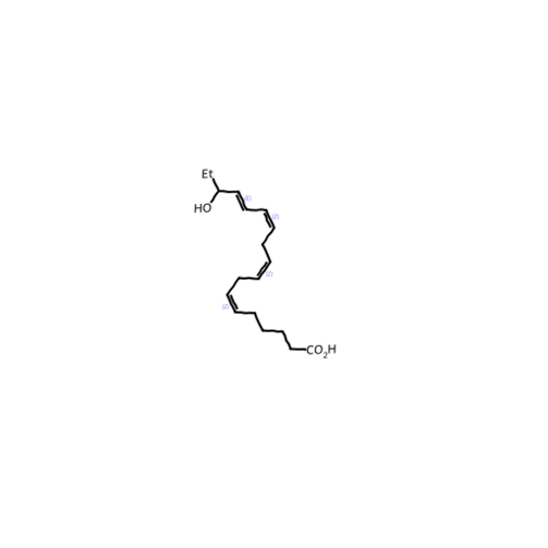 CCC(O)/C=C/C=C\C/C=C\C/C=C\CCCCC(=O)O